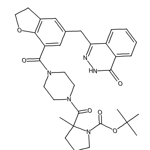 CC(C)(C)OC(=O)N1CCCC1(C)C(=O)N1CCN(C(=O)c2cc(Cc3n[nH]c(=O)c4ccccc34)cc3c2OCC3)CC1